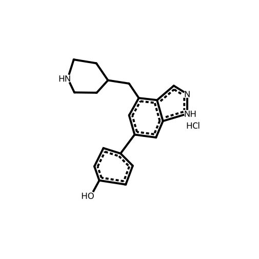 Cl.Oc1ccc(-c2cc(CC3CCNCC3)c3cn[nH]c3c2)cc1